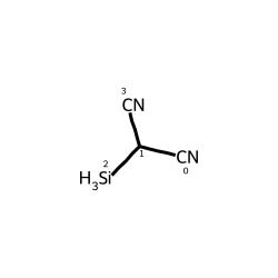 N#CC([SiH3])C#N